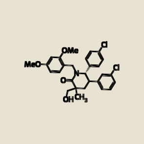 COc1ccc(CN2C(=O)C(C)(CO)CC(c3cccc(Cl)c3)[C@H]2c2ccc(Cl)cc2)c(OC)c1